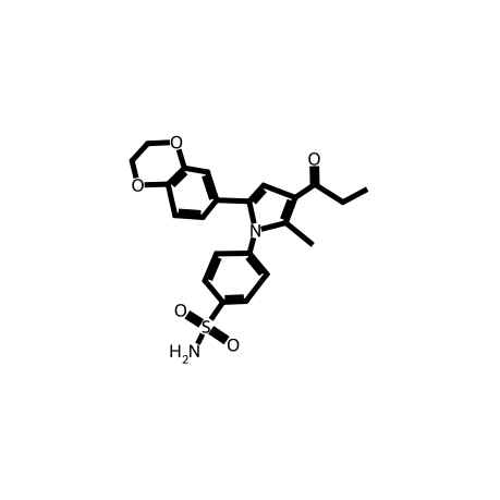 CCC(=O)c1cc(-c2ccc3c(c2)OCCO3)n(-c2ccc(S(N)(=O)=O)cc2)c1C